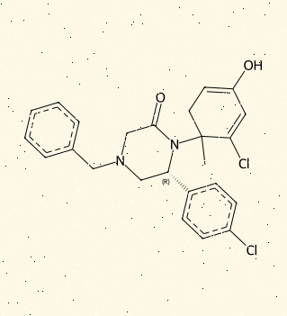 CC1(N2C(=O)CN(Cc3ccccc3)C[C@H]2c2ccc(Cl)cc2)CC=C(O)C=C1Cl